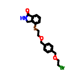 O=C1NCc2c(SCCOCc3ccc(COCCBr)cc3)cccc21